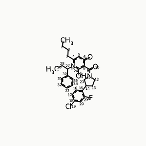 CCCCc1cc(=O)c(C(=O)N2CCC(c3ccc(Cl)cc3F)C2)c(O)n1C(CC)c1ccccc1